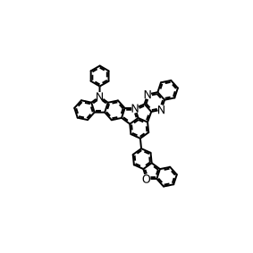 c1ccc(-n2c3ccccc3c3cc4c5cc(-c6ccc7oc8ccccc8c7c6)cc6c7nc8ccccc8nc7n(c4cc32)c56)cc1